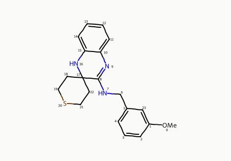 COc1cccc(CNC2=Nc3ccccc3NC23CCSCC3)c1